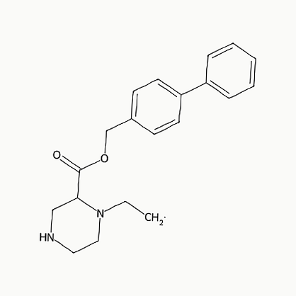 [CH2]CN1CCNCC1C(=O)OCc1ccc(-c2ccccc2)cc1